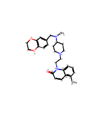 BN(Cc1ccc2c(c1)OCCO2)C1CCN(CCn2c(=O)ccc3c(NC)cccc32)CC1